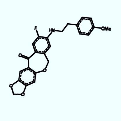 COc1ccc(CCNc2cc3c(cc2F)C(=O)c2cc4c(cc2OC3)OCO4)cc1